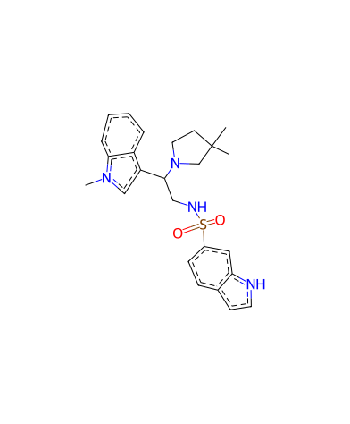 Cn1cc(C(CNS(=O)(=O)c2ccc3cc[nH]c3c2)N2CCC(C)(C)C2)c2ccccc21